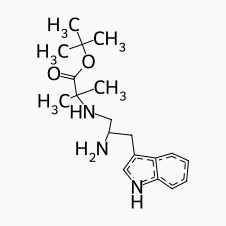 CC(C)(C)OC(=O)C(C)(C)NCC(N)Cc1c[nH]c2ccccc12